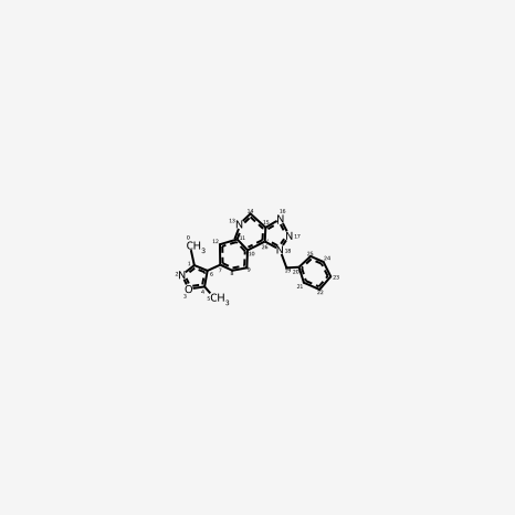 Cc1noc(C)c1-c1ccc2c(c1)ncc1nnn(Cc3ccccc3)c12